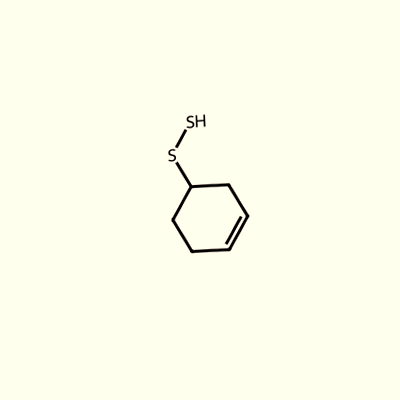 SSC1CC=CCC1